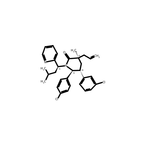 C=CC[C@@]1(C)C[C@H](c2cccc(Cl)c2)[C@@H](c2ccc(Cl)cc2)N([C@@H](CC(C)C)c2ccccn2)C1=O